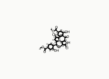 COC(=O)c1ccc(C(=O)c2[nH]c(Cl)c(Cl)c2-n2c(C(=O)c3ccc(C(=O)OC)cc3O)cc(Cl)c2Cl)c(O)c1